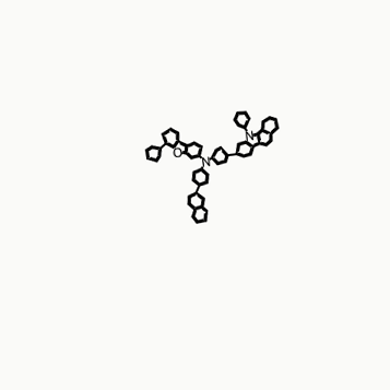 c1ccc(-c2cccc3c2oc2cc(N(c4ccc(-c5ccc6ccccc6c5)cc4)c4ccc(-c5ccc6c7ccc8ccccc8c7n(-c7ccccc7)c6c5)cc4)ccc23)cc1